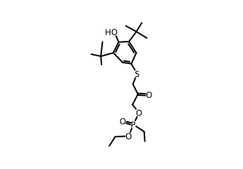 CCOP(=O)(CC)OCC(=O)CSc1cc(C(C)(C)C)c(O)c(C(C)(C)C)c1